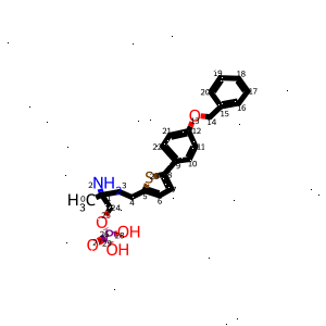 CC(N)(CCc1ccc(-c2ccc(OCc3ccccc3)cc2)s1)COP(=O)(O)O